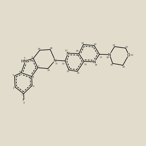 Fc1ccc2[nH]c3c(c2c1)CN(c1ccc2nc(N4CCOCC4)ccc2n1)CC3